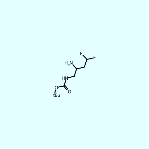 CC(C)(C)OC(=O)NCC(N)CC(F)F